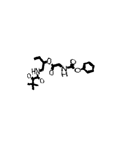 CCC(CNC(=O)C(=O)C(C)(C)C)OC(=O)CNC(=O)Oc1ccccc1